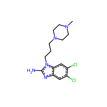 CN1CCN(CCCn2c(N)nc3cc(Cl)c(Cl)cc32)CC1